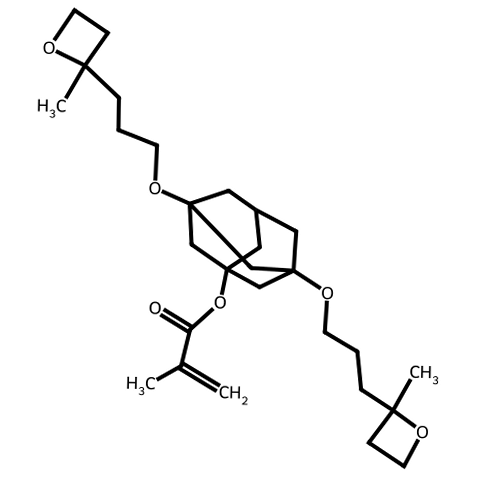 C=C(C)C(=O)OC12CC3CC(OCCCC4(C)CCO4)(CC(OCCCC4(C)CCO4)(C3)C1)C2